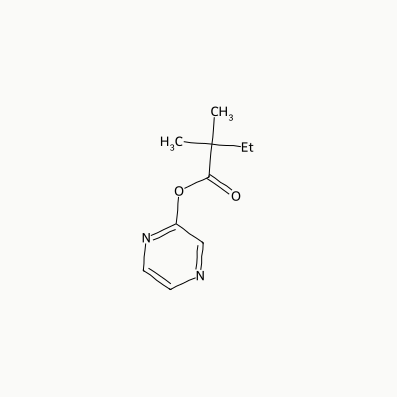 CCC(C)(C)C(=O)Oc1cnccn1